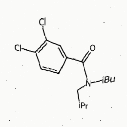 CCC(C)N(CC(C)C)C(=O)c1ccc(Cl)c(Cl)c1